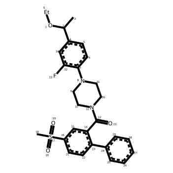 CCOC(C)c1ccc(N2CCN(C(=O)c3cc(S(C)(=O)=O)ccc3-c3ccccc3)CC2)c(F)c1